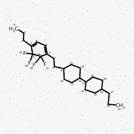 CCCC1=CC=C(CCC2CCC(C3CCC(CCC)CC3)CC2)C(F)(F)C1(F)F